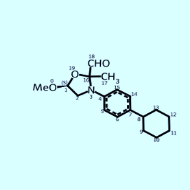 CO[C@@H]1CN(c2ccc(C3CCCCC3)cc2)C(C)(C=O)O1